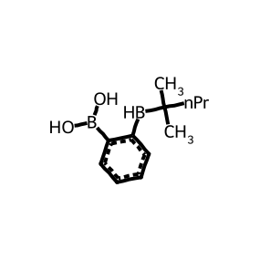 CCCC(C)(C)Bc1ccccc1B(O)O